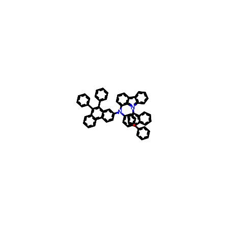 c1ccc(-c2ccc(N(c3ccc4c(c3)c(-c3ccccc3)c(-c3ccccc3)c3ccccc34)c3cccc4c5ccccc5n(-c5cccc6ccccc56)c34)cc2)cc1